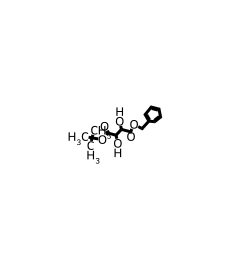 CC(C)(C)OC(=O)C(O)C(O)C(=O)OCc1ccccc1